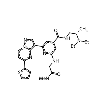 CCN(CC)[C@@H](C)CNC(=O)c1cc(NCC(=O)NC)nc(-c2cnn3ccc(-c4cccs4)nc23)c1